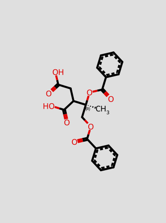 C[C@@](COC(=O)c1ccccc1)(OC(=O)c1ccccc1)C(CC(=O)O)C(=O)O